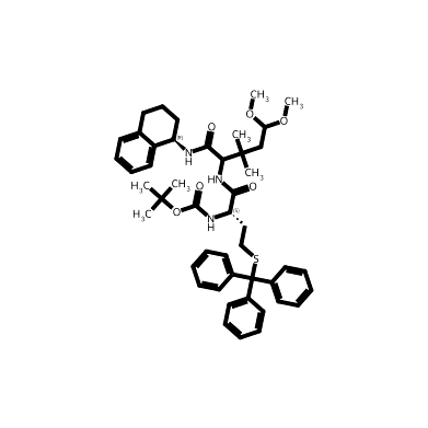 COC(CC(C)(C)C(NC(=O)[C@H](CCSC(c1ccccc1)(c1ccccc1)c1ccccc1)NC(=O)OC(C)(C)C)C(=O)N[C@@H]1CCCc2ccccc21)OC